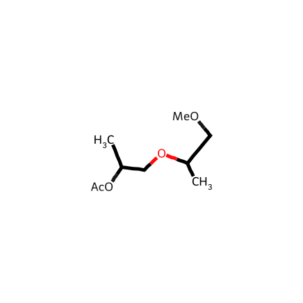 COCC(C)OCC(C)OC(C)=O